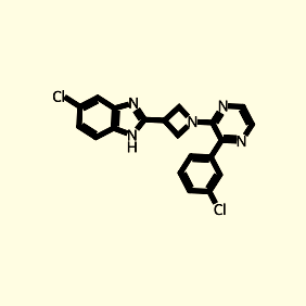 Clc1cccc(-c2nccnc2N2CC(c3nc4cc(Cl)ccc4[nH]3)C2)c1